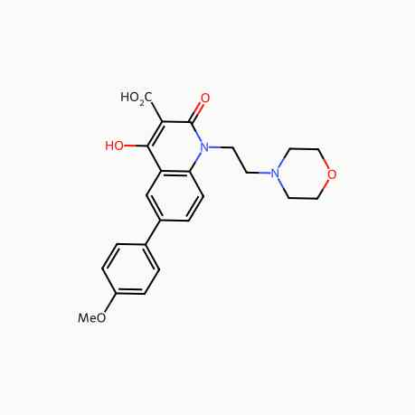 COc1ccc(-c2ccc3c(c2)c(O)c(C(=O)O)c(=O)n3CCN2CCOCC2)cc1